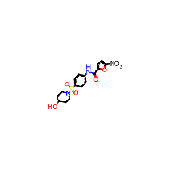 O=C(Nc1ccc(S(=O)(=O)N2CCC(O)CC2)cc1)c1ccc([N+](=O)[O-])o1